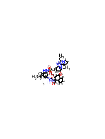 CCN1CCC[C@@]1(C)c1nnc2ccc(O[C@@H]3C=C[C@](C=O)(NC(=O)Nc4cc(NS(C)(=O)=O)cc(C(C)(C)C)c4)c4ccccc43)cn12